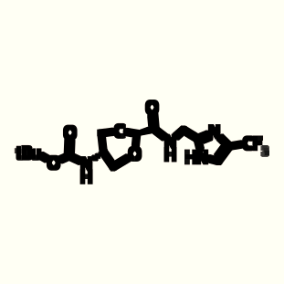 CC(C)(C)OC(=O)N[C@@H]1CC[C@@H](C(=O)NCc2nc(C(F)(F)F)c[nH]2)OC1